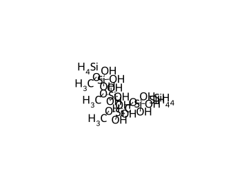 CO[Si](O)(O)O.CO[Si](O)(O)O.CO[Si](O)(O)O.CO[Si](O)(O)O.[SiH4].[SiH4].[SiH4]